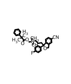 CC(C)(C(=O)OC[N+](C)(C)CCCC1(c2ccc(F)cc2)OCc2cc(C#N)ccc21)c1ccccc1